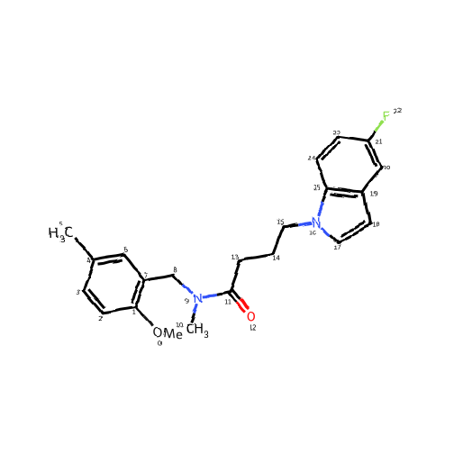 COc1ccc(C)cc1CN(C)C(=O)CCCn1ccc2cc(F)ccc21